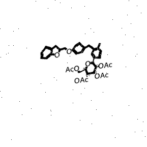 CC(=O)OC[C@H]1O[C@@H](c2ccc(C)c(Cc3ccc(OCC4Cc5ccccc5O4)cc3)c2)[C@H](OC(C)=O)[C@@H](OC(C)=O)[C@@H]1OC(C)=O